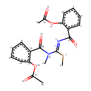 CS/C(=N\C(=O)c1ccccc1OC(C)=O)N(C)C(=O)c1ccccc1OC(C)=O